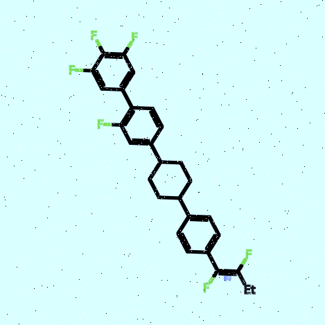 CC/C(F)=C(\F)c1ccc(C2CCC(c3ccc(-c4cc(F)c(F)c(F)c4)c(F)c3)CC2)cc1